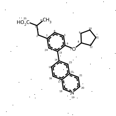 CC(Cc1ccc(OC2CCCC2)c(-c2ccc3cnccc3c2)c1)C(=O)O